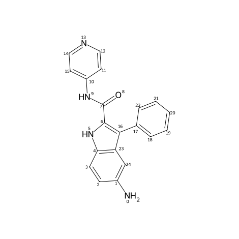 Nc1ccc2[nH]c(C(=O)Nc3ccncc3)c(-c3ccccc3)c2c1